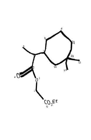 CCOC(=O)COC(=O)C(C)C1CCCC(C)(C)C1